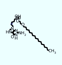 CCCCCCCCCCCCCCCCCCOCCOP(=O)(O)CC/C=C\CN1CNc2c1nc(N)[nH]c2=O